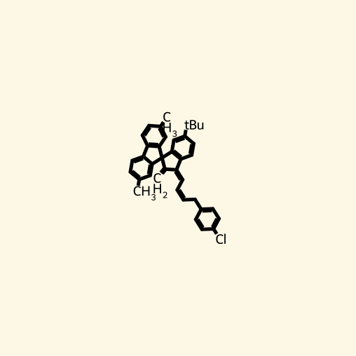 C=C1/C(=C\C=C/Cc2ccc(Cl)cc2)c2ccc(C(C)(C)C)cc2C12c1cc(C)ccc1-c1ccc(C)cc12